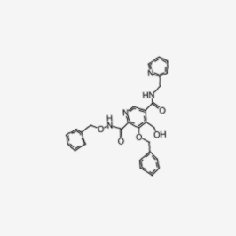 O=C(NCc1ccccn1)c1cnc(C(=O)NOCc2ccccc2)c(OCc2ccccc2)c1CO